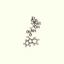 CCOP(=O)(CC(O)CNC(=O)OCC1c2ccccc2-c2ccccc21)OCC